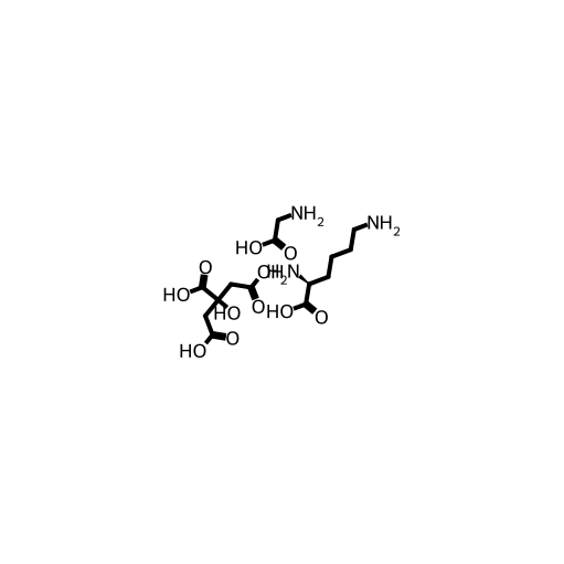 NCC(=O)O.NCCCC[C@H](N)C(=O)O.O=C(O)CC(O)(CC(=O)O)C(=O)O